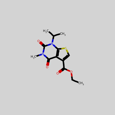 CCOC(=O)c1csc2c1c(=O)n(C)c(=O)n2C(C)C